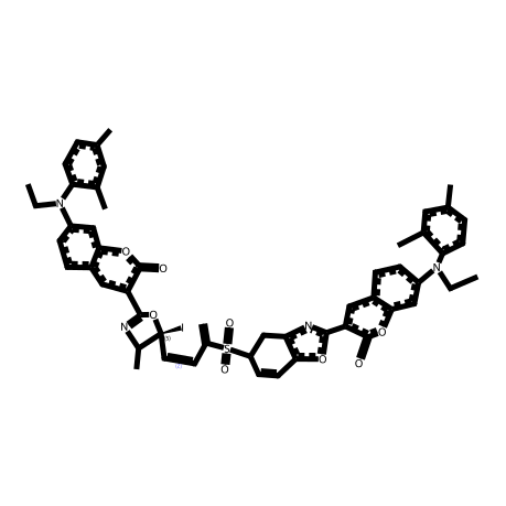 C=C(/C=C\[C@@]1(I)OC(c2cc3ccc(N(CC)c4ccc(C)cc4C)cc3oc2=O)=NC1C)S(=O)(=O)C1C=Cc2oc(-c3cc4ccc(N(CC)c5ccc(C)cc5C)cc4oc3=O)nc2C1